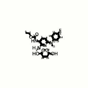 CCOC(=O)Nc1ccc(N(C)c2ccc(F)cc2)nc1N.O=C(O)/C=C\C(=O)O